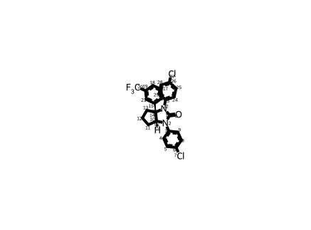 O=C1N(c2ccc(Cl)cc2)[C@@H]2CCC[C@]2(c2cccc(C(F)(F)F)c2)N1c1ccc(Cl)cc1